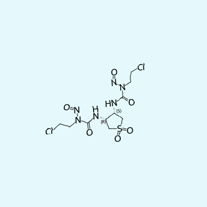 O=NN(CCCl)C(=O)N[C@H]1CS(=O)(=O)C[C@H]1NC(=O)N(CCCl)N=O